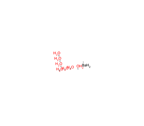 O.O.O.O.O.O.O.[BaH2]